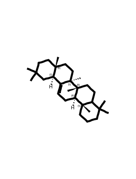 CC1(C)CC[C@]2(C)CC[C@]3(C)C(=CC[C@@H]4[C@@]5(C)CCCC(C)(C)C5CC[C@]43C)[C@H]2C1